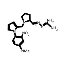 CNc1ccc(-n2cccc2CN2CCCC2/C=N/N=C(N)N)c([N+](=O)[O-])c1